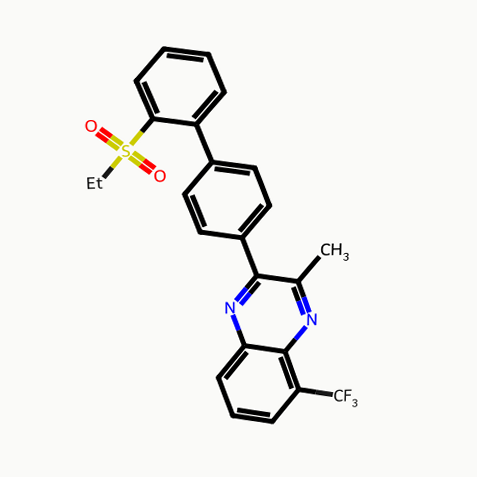 CCS(=O)(=O)c1ccccc1-c1ccc(-c2nc3cccc(C(F)(F)F)c3nc2C)cc1